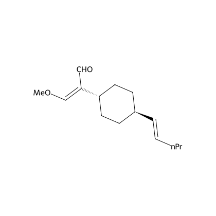 CCCC=C[C@H]1CC[C@H](C(C=O)=COC)CC1